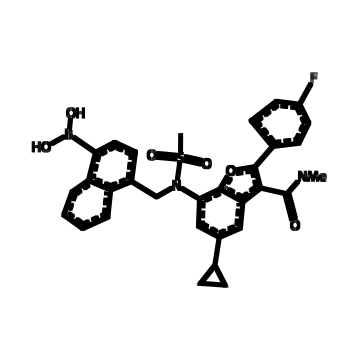 CNC(=O)c1c(-c2ccc(F)cc2)oc2c(N(Cc3ccc(B(O)O)c4ccccc34)S(C)(=O)=O)cc(C3CC3)cc12